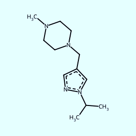 CC(C)n1cc(CN2CCN(C)CC2)cn1